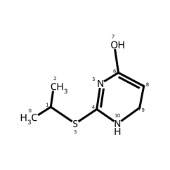 CC(C)SC1=NC(O)=C[CH]N1